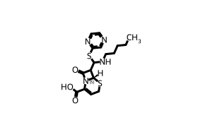 CCCCCNC(Sc1cnccn1)C1C(=O)N2C(C(=O)O)=CCS[C@@H]12